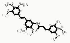 COc1cc(/C=C/C(=O)Nc2cc(/C=C/c3cc(OC)c(OC)c(OC)c3)cc(OC)c2OC)cc(N)c1OC